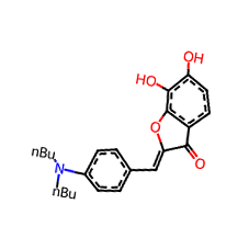 CCCCN(CCCC)c1ccc(/C=C2\Oc3c(ccc(O)c3O)C2=O)cc1